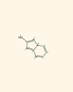 Oc1nc2ncccn2n1